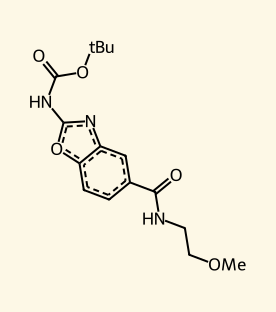 COCCNC(=O)c1ccc2oc(NC(=O)OC(C)(C)C)nc2c1